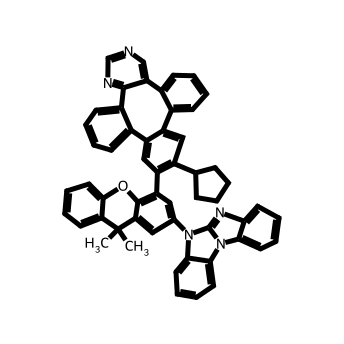 CC1(C)c2ccccc2Oc2c(-c3cc4c(cc3C3CCCC3)-c3ccccc3-c3cncnc3-c3ccccc3-4)cc(-n3c4ccccc4n4c5ccccc5nc34)cc21